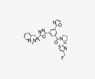 C[C@@](N)(Cc1ccccc1)c1nnc(-c2cc(C(=O)N3CCC[C@@H]3c3nc(CF)cs3)cc(-c3ncco3)c2)o1